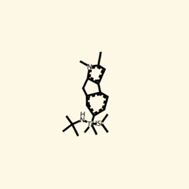 Cc1cc2c(n1C)Cc1c[c]([Ti]([CH3])([CH3])([NH]C(C)(C)C)[SiH](C)C)ccc1-2